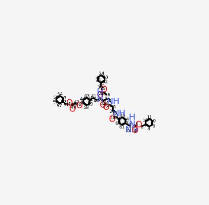 N=C(NC(=O)OCc1ccccc1)c1ccc(C(=O)NCCC(=O)N[C@@H](CC(=O)OCc2ccccc2)C(=O)NCCc2ccc(OCC(=O)OCc3ccccc3)cc2)cc1